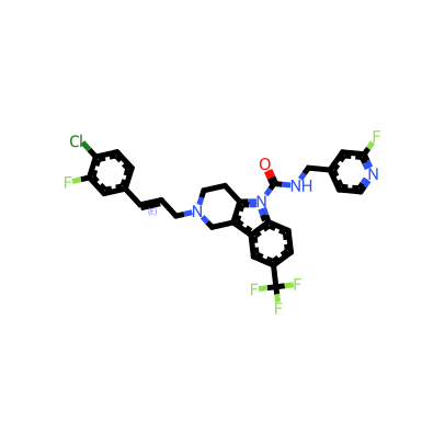 O=C(NCc1ccnc(F)c1)n1c2c(c3cc(C(F)(F)F)ccc31)CN(C/C=C/c1ccc(Cl)c(F)c1)CC2